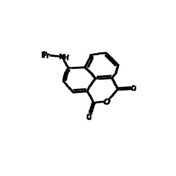 CC(C)Nc1ccc2c3c(cccc13)C(=O)OC2=O